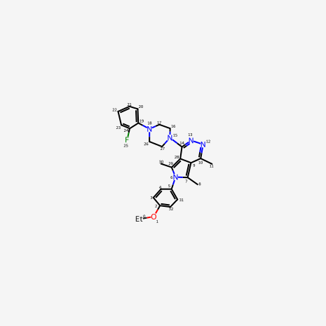 CCOc1ccc(-n2c(C)c3c(C)nnc(N4CCN(c5ccccc5F)CC4)c3c2C)cc1